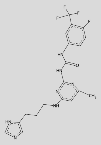 Cc1cc(NCCCc2cnc[nH]2)nc(NC(=O)Nc2ccc(F)c(C(F)(F)F)c2)n1